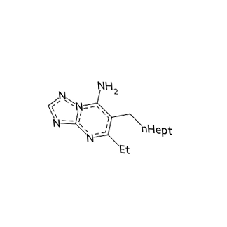 CCCCCCCCc1c(CC)nc2ncnn2c1N